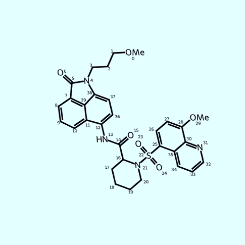 COCCCN1C(=O)c2cccc3c(NC(=O)C4CCCCN4S(=O)(=O)c4ccc(OC)c5ncccc45)ccc1c23